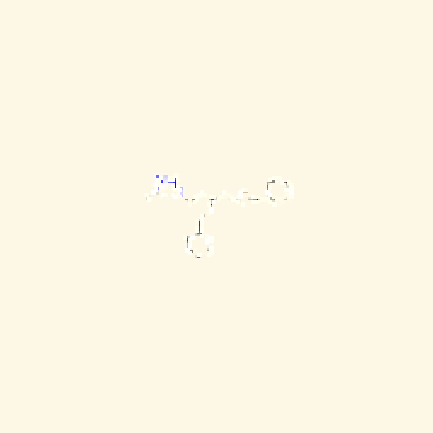 C=C(N)CCCCC(CCSCc1ccccc1)CCc1ccccc1